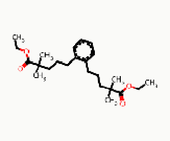 CCOC(=O)C(C)(C)CCCc1ccccc1CCCC(C)(C)C(=O)OCC